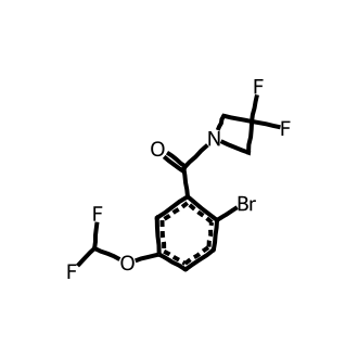 O=C(c1cc(OC(F)F)ccc1Br)N1CC(F)(F)C1